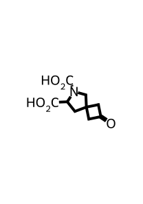 O=C1CC2(C1)CC(C(=O)O)N(C(=O)O)C2